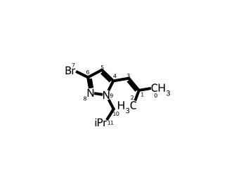 CC(C)=Cc1cc(Br)nn1CC(C)C